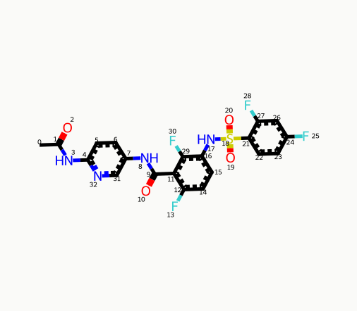 CC(=O)Nc1ccc(NC(=O)c2c(F)ccc(NS(=O)(=O)c3ccc(F)cc3F)c2F)cn1